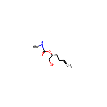 C=CCC[C@@H](CO)OC(=O)NC(C)(C)C